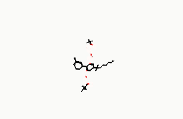 CCCCCCC(C)(C)c1cc(OCOC(=O)C(C)(C)C)c(C2C=C(C)CCC2)c(OCOC(=O)C(C)(C)C)c1